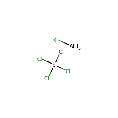 Cl[Si](Cl)(Cl)Cl.[AlH2][Cl]